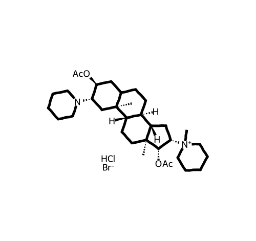 CC(=O)O[C@H]1CC2CC[C@H]3[C@@H]4C[C@H]([N+]5(C)CCCCC5)[C@H](OC(C)=O)[C@@]4(C)CC[C@@H]3[C@@]2(C)C[C@@H]1N1CCCCC1.Cl.[Br-]